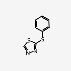 [c]1nnc(Sc2ccccc2)s1